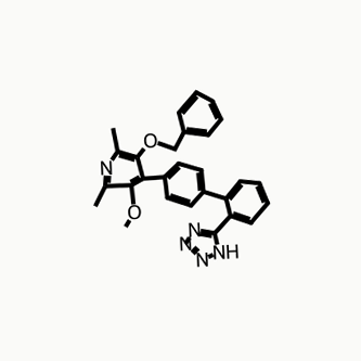 COc1c(C)nc(C)c(OCc2ccccc2)c1-c1ccc(-c2ccccc2-c2nnn[nH]2)cc1